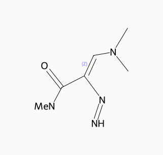 CNC(=O)/C(=C/N(C)C)N=N